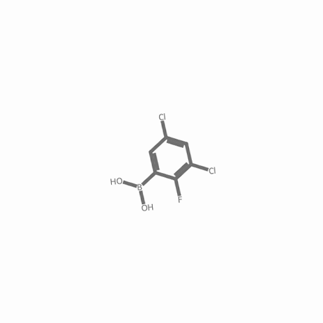 OB(O)c1cc(Cl)cc(Cl)c1F